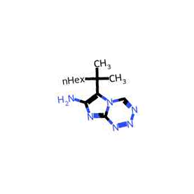 CCCCCCC(C)(C)c1c(N)nc2nnncn12